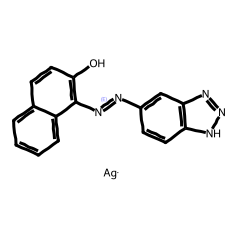 Oc1ccc2ccccc2c1/N=N/c1ccc2[nH]nnc2c1.[Ag]